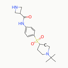 CC(C)(C)N1CCC(S(=O)(=O)c2ccc(NC(=O)C3CNC3)cc2)CC1